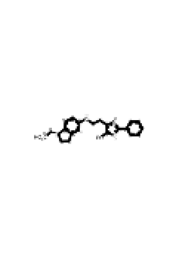 CCc1oc(-c2ccccc2)nc1CCOc1ccc2c(c1)CC[C@H]2CC(=O)O